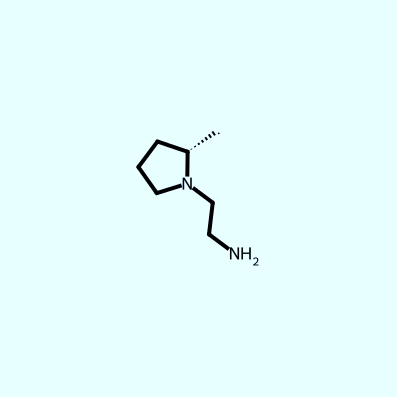 [CH2][C@H]1CCCN1CCN